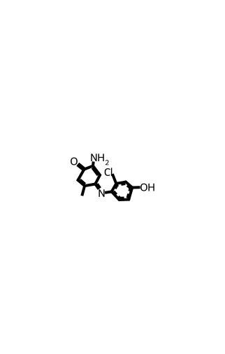 CC1=CC(=O)C(N)=CC1=Nc1ccc(O)cc1Cl